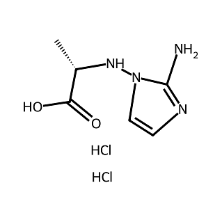 C[C@H](Nn1ccnc1N)C(=O)O.Cl.Cl